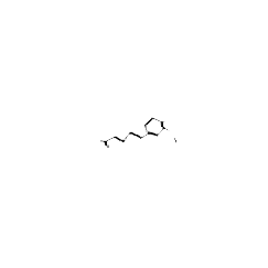 COc1cc(/C=C/C=C/C(=O)O)ccc1O